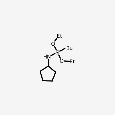 CCO[Si](NC1CCCC1)(OCC)C(C)CC